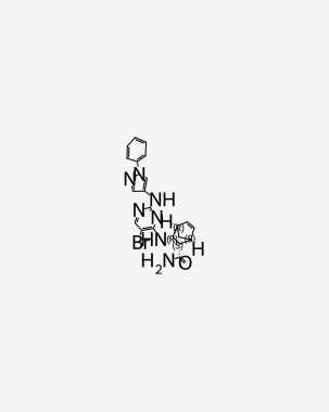 NC(=O)[C@@H]1[C@H](Nc2nc(Nc3cnn(-c4ccccc4)c3)ncc2Br)[C@H]2C=C[C@@H]1C2